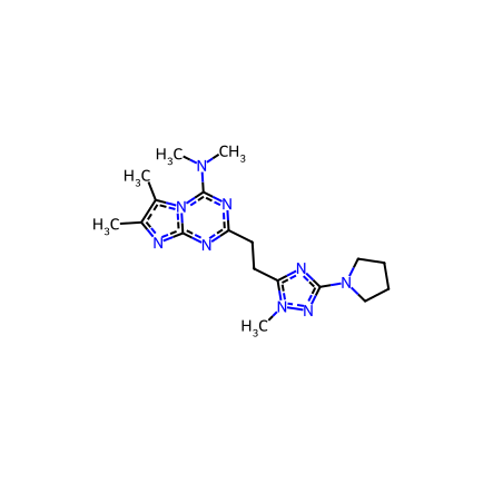 Cc1nc2nc(CCc3nc(N4CCCC4)nn3C)nc(N(C)C)n2c1C